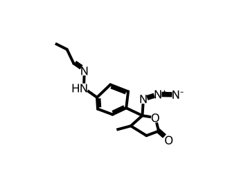 CCC=NNc1ccc(C2(N=[N+]=[N-])OC(=O)CC2C)cc1